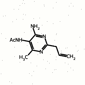 C=CCc1nc(C)c(NC(C)=O)c(N)n1